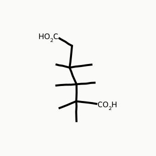 CC(C)(CC(=O)O)C(C)(C)C(C)(C)C(=O)O